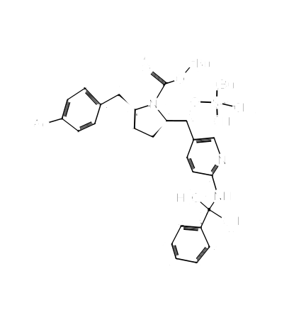 CC(=O)c1ccc(C[C@@H]2CC[C@H]([C@H](O[Si](C)(C)C(C)(C)C)c3ccc(NC(C)(C)c4ccccc4)nc3)N2C(=O)OC(C)(C)C)cc1